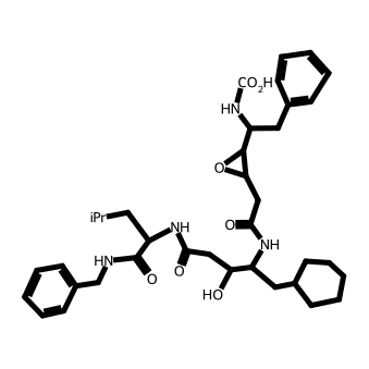 CC(C)CC(NC(=O)CC(O)C(CC1CCCCC1)NC(=O)CC1OC1C(Cc1ccccc1)NC(=O)O)C(=O)NCc1ccccc1